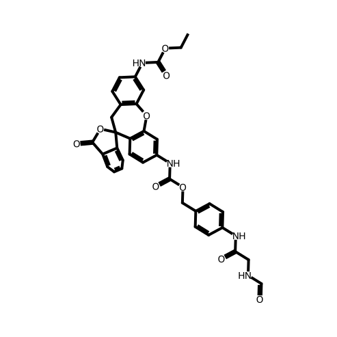 CCOC(=O)Nc1ccc2c(c1)Oc1cc(NC(=O)OCc3ccc(NC(=O)CNC=O)cc3)ccc1C1(C2)OC(=O)c2ccccc21